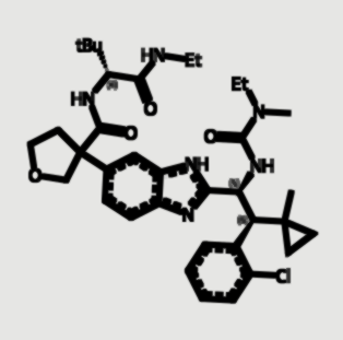 CCNC(=O)[C@H](NC(=O)C1(c2ccc3nc([C@@H](NC(=O)N(C)CC)[C@H](c4ccccc4Cl)C4(C)CC4)[nH]c3c2)CCOC1)C(C)(C)C